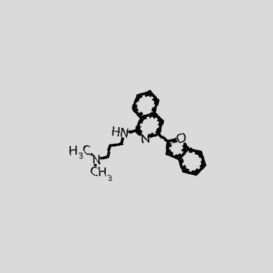 CN(C)CCCNc1nc(-c2cc3ccccc3o2)cc2ccccc12